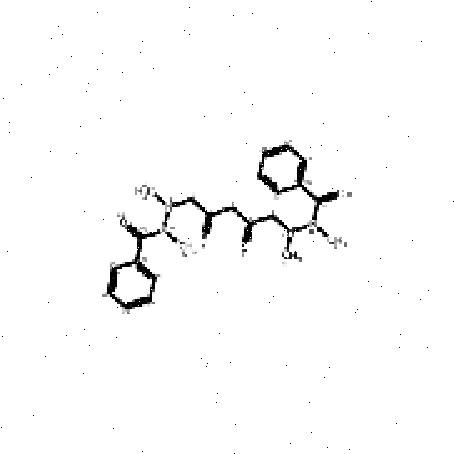 CN(CC(=S)CC(=S)CN(C)N(C)C(=O)c1ccccc1)N(C)C(=O)c1ccccc1